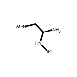 CNC[C@@H](N)NC(C)C